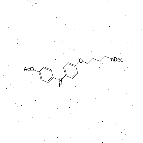 CCCCCCCCCCCCCCOc1ccc(Nc2ccc(OC(C)=O)cc2)cc1